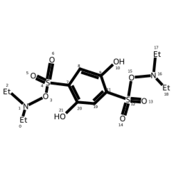 CCN(CC)OS(=O)(=O)c1cc(O)c(S(=O)(=O)ON(CC)CC)cc1O